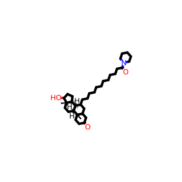 C[C@]12CCC(=O)CC1CC(CCCCCCCCCCCC(=O)N1CCCCC1)[C@@H]1[C@H]2CC[C@]2(C)C(O)CC[C@@H]12